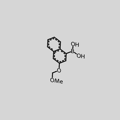 COCOc1cc(B(O)O)c2ccccc2c1